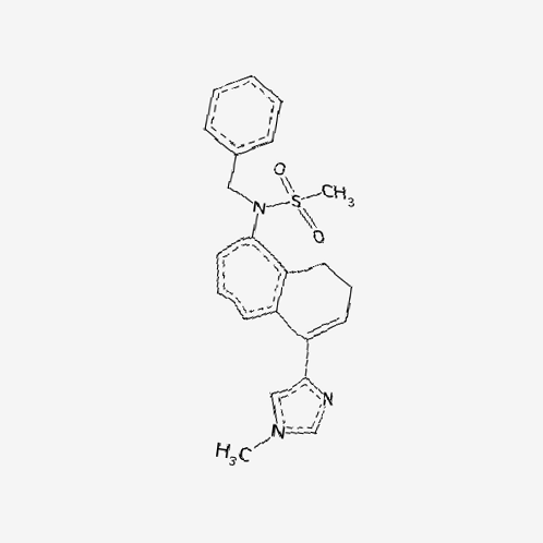 Cn1cnc(C2=CCCc3c2cccc3N(Cc2ccccc2)S(C)(=O)=O)c1